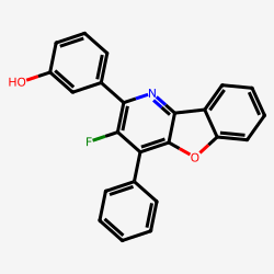 Oc1cccc(-c2nc3c(oc4ccccc43)c(-c3ccccc3)c2F)c1